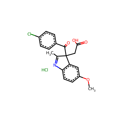 COc1ccc2c(c1)C(CC(=O)O)(C(=O)c1ccc(Cl)cc1)C(C)=N2.Cl